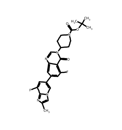 Cc1cn2cc(-c3cc(F)c4c(=O)n(C5CCN(C(=O)OC(C)(C)C)CC5)cnc4c3)cc(F)c2n1